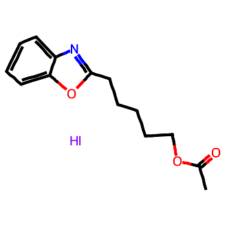 CC(=O)OCCCCCc1nc2ccccc2o1.I